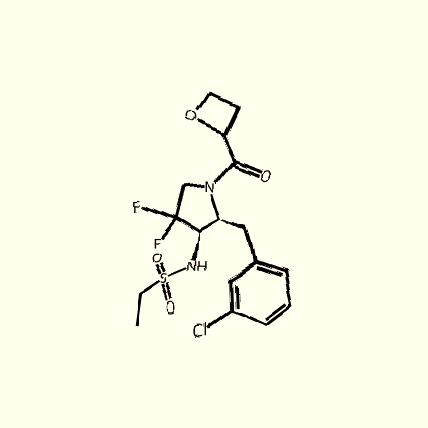 CCS(=O)(=O)N[C@@H]1[C@H](Cc2cccc(Cl)c2)N(C(=O)C2CCO2)CC1(F)F